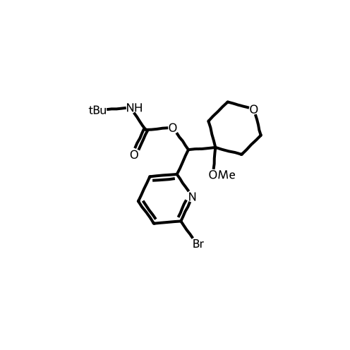 COC1(C(OC(=O)NC(C)(C)C)c2cccc(Br)n2)CCOCC1